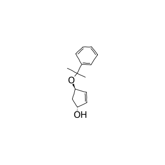 CC(C)(O[C@H]1C=C[C@H](O)C1)c1ccccc1